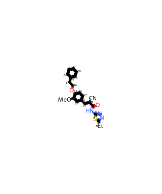 CCc1nnc(NC(=O)/C(C#N)=C/c2ccc(OCCc3ccccc3)c(OC)c2)s1